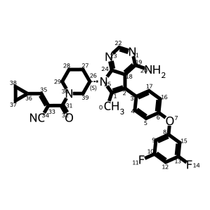 Cc1c(-c2ccc(Oc3cc(F)cc(F)c3)cc2)c2c(N)ncnc2n1[C@H]1CCCN(C(=O)C(C#N)=CC2CC2)C1